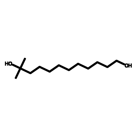 CC(C)(O)CCCCCCCCCCO